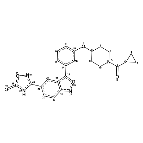 O=C(C1CC1)N1CCC(Oc2cccc(-c3onc4ccc(-c5noc(=O)[nH]5)cc34)c2)CC1